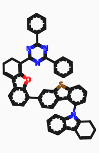 C1=Cc2c(n(-c3cccc4sc5cc(-c6cccc7c8c(oc67)=C(c6nc(-c7ccccc7)nc(-c7ccccc7)n6)CCC=8)ccc5c34)c3ccccc23)CC1